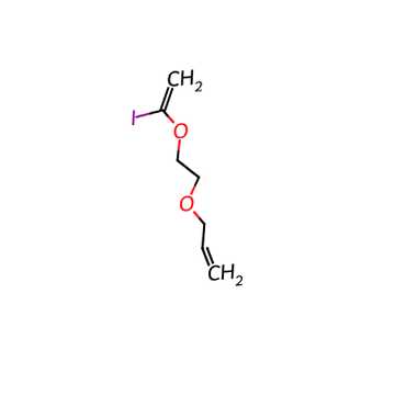 C=CCOCCOC(=C)I